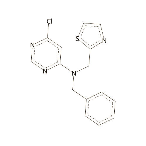 Clc1cc(N(Cc2c[c]ccc2)Cc2nccs2)ncn1